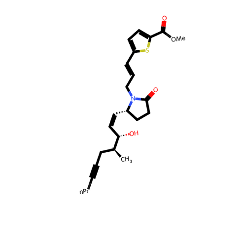 CCCC#CC[C@H](C)[C@@H](O)/C=C\[C@H]1CCC(=O)N1CC=Cc1ccc(C(=O)OC)s1